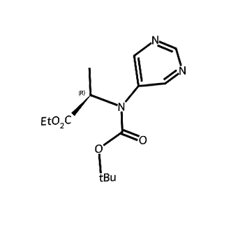 CCOC(=O)[C@@H](C)N(C(=O)OC(C)(C)C)c1cncnc1